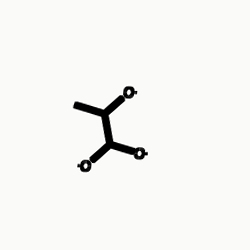 CC([O])C([O])[O]